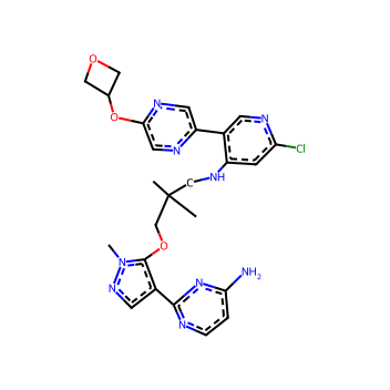 Cn1ncc(-c2nccc(N)n2)c1OCC(C)(C)CNc1cc(Cl)ncc1-c1cnc(OC2COC2)cn1